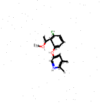 CCOC(C)c1c(F)cccc1Oc1cnc(C)c(C)c1